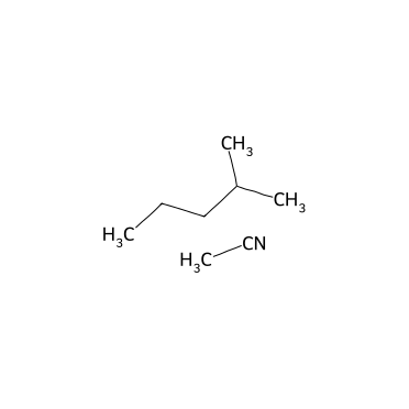 CC#N.CCCC(C)C